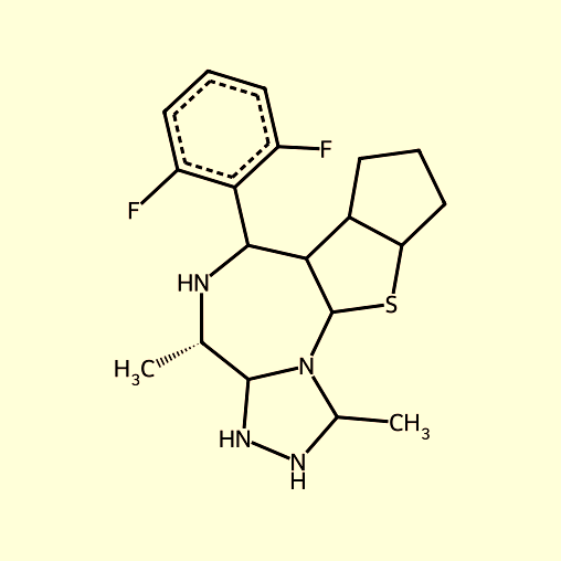 CC1NNC2[C@H](C)NC(c3c(F)cccc3F)C3C4CCCC4SC3N12